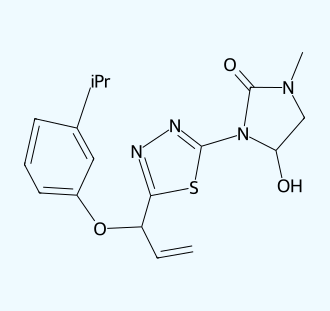 C=CC(Oc1cccc(C(C)C)c1)c1nnc(N2C(=O)N(C)CC2O)s1